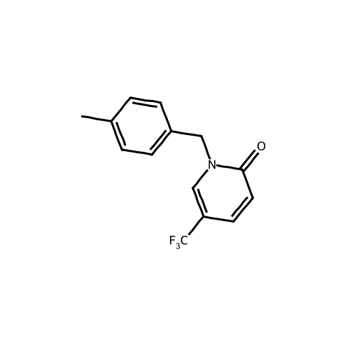 Cc1ccc(Cn2cc(C(F)(F)F)ccc2=O)cc1